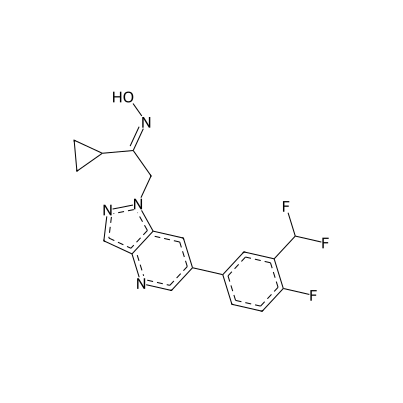 O/N=C(/Cn1ncc2ncc(-c3ccc(F)c(C(F)F)c3)cc21)C1CC1